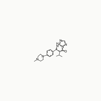 CC(C)c1c(-c2ccc(N3CCN(C)CC3)cc2)[nH]c2ncnn2c1=O